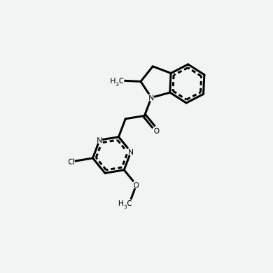 COc1cc(Cl)nc(CC(=O)N2c3ccccc3CC2C)n1